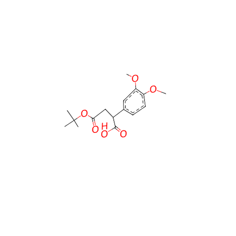 COc1ccc(C(CC(=O)OC(C)(C)C)C(=O)O)cc1OC